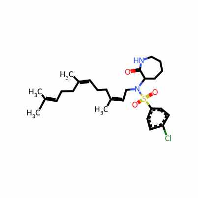 CC(C)=CCCC(C)=CCCC(C)=CCN(C1CCCCNC1=O)S(=O)(=O)c1ccc(Cl)cc1